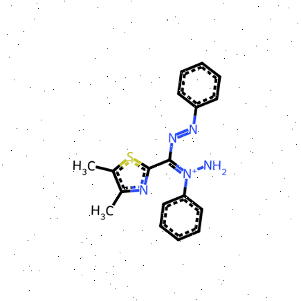 Cc1nc(C(N=Nc2ccccc2)=[N+](N)c2ccccc2)sc1C